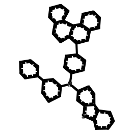 c1ccc(-c2cccc(N(c3ccc(-c4cc5ccccc5c5c4ccc4ccccc45)cc3)c3ccc4c(c3)sc3ccccc34)c2)cc1